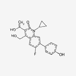 C=C(O)c1c(CO)c2cc(F)c(-c3ccc(O)cc3)cc2n(C2CC2)c1=O